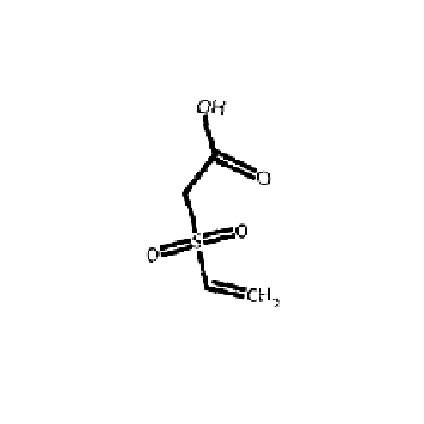 C=CS(=O)(=O)CC(=O)O